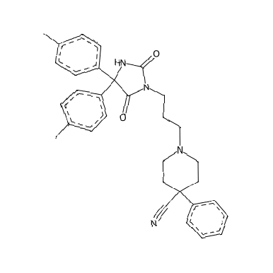 Cc1ccc(C2(c3ccc(C)cc3)NC(=O)N(CCCN3CCC(C#N)(c4ccccc4)CC3)C2=O)cc1